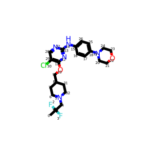 CC(F)(F)CN1CCC(COc2nc(Nc3ccc(N4CCOCC4)cc3)ncc2Cl)CC1